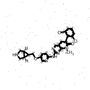 Cn1c(=O)c(-c2c(Cl)cccc2Cl)cc2cnc(Nc3ccc(OCC4[C@H]5CNC[C@@H]45)cn3)nc21